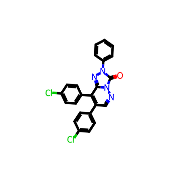 O=c1n(-c2ccccc2)nc2c(-c3ccc(Cl)cc3)c(-c3ccc(Cl)cc3)cnn12